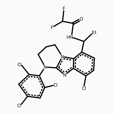 CCC(NC(=O)C(F)F)c1ccc(Cl)c2nc3n(c12)CCCN3c1c(Cl)cc(Cl)cc1Cl